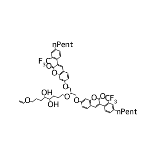 C=COCCCC(O)C(O)CCCOC(COc1ccc2cc(-c3ccc(CCCCC)cc3C(F)(F)F)c(=O)oc2c1)COc1ccc2cc(-c3ccc(CCCCC)cc3C(F)(F)F)c(=O)oc2c1